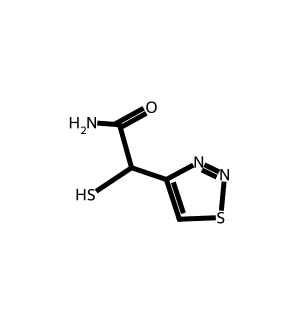 NC(=O)C(S)c1csnn1